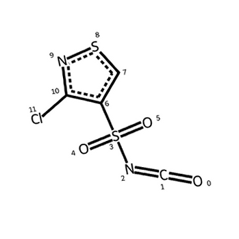 O=C=NS(=O)(=O)c1csnc1Cl